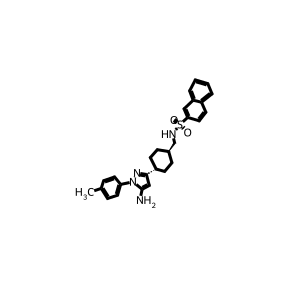 Cc1ccc(-n2nc([C@H]3CC[C@H](CNS(=O)(=O)c4ccc5ccccc5c4)CC3)cc2N)cc1